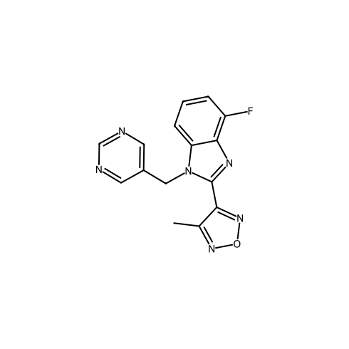 Cc1nonc1-c1nc2c(F)cccc2n1Cc1cncnc1